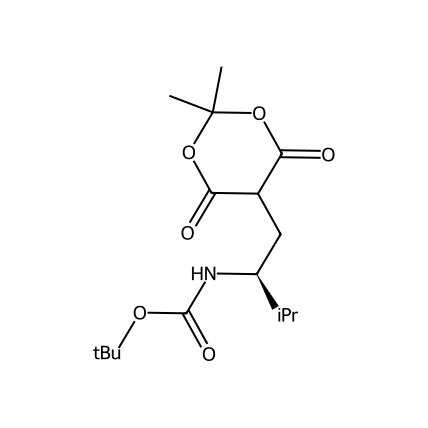 CC(C)[C@H](CC1C(=O)OC(C)(C)OC1=O)NC(=O)OC(C)(C)C